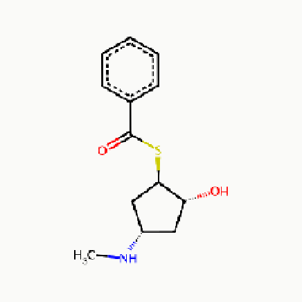 CN[C@H]1C[C@@H](O)[C@H](SC(=O)c2ccccc2)C1